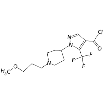 COCCCN1CCC(n2ncc(C(=O)Cl)c2C(F)(F)F)CC1